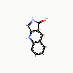 O=C1N=Cc2nc3ccccc3cc21